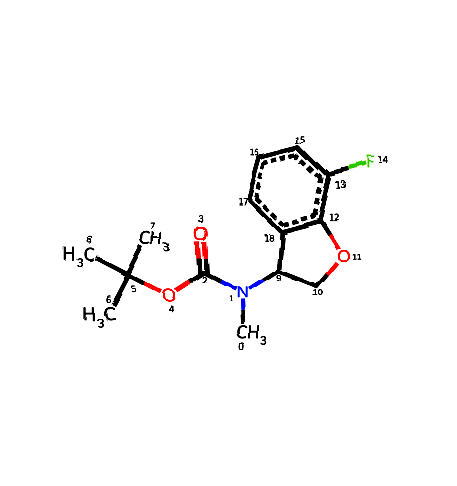 CN(C(=O)OC(C)(C)C)C1COc2c(F)cccc21